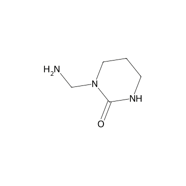 NCN1CCCNC1=O